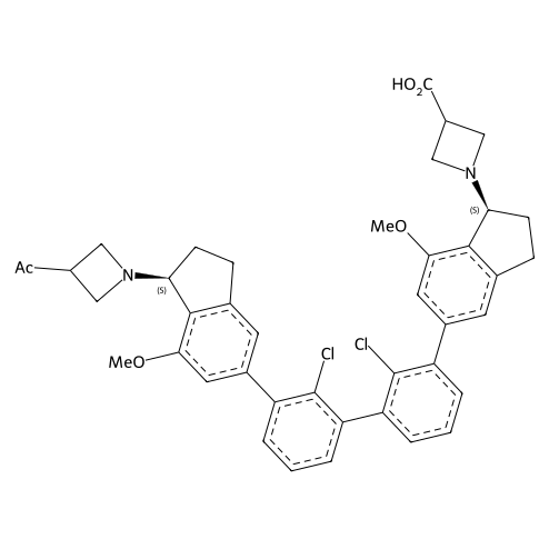 COc1cc(-c2cccc(-c3cccc(-c4cc5c(c(OC)c4)[C@@H](N4CC(C(=O)O)C4)CC5)c3Cl)c2Cl)cc2c1[C@@H](N1CC(C(C)=O)C1)CC2